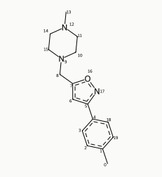 Cc1ccc(-c2cc(CN3CCN(C)CC3)on2)cc1